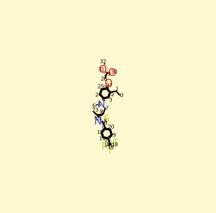 CCc1cc(N(C)Cc2sc(-c3ccc(C(F)(F)F)cc3)nc2C)ccc1OCC(=O)OC